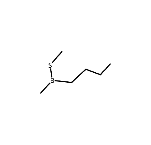 CCCCB(C)SC